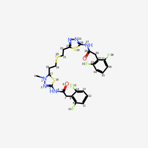 CN1N=C(NC(=O)Cc2c(F)cccc2F)SC1CCSCCc1nnc(NC(=O)Cc2c(F)cccc2F)s1